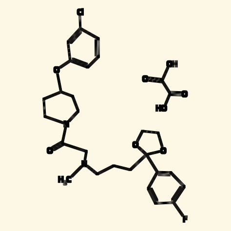 CN(CCCC1(c2ccc(F)cc2)OCCO1)CC(=O)N1CCC(Oc2cccc(Cl)c2)CC1.O=C(O)C(=O)O